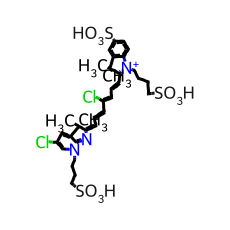 CC1(C)C2=CC(Cl)=CN(CCCCS(=O)(=O)O)C2=N/C1=C/C=C/C(Cl)=C/C=C/C1=[N+](CCCCS(=O)(=O)O)c2ccc(S(=O)(=O)O)cc2C1(C)C